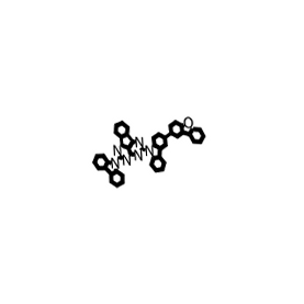 c1ccc2c(c1)-c1nc(-n3c4ccccc4c4ccccc43)nc3nc(-n4c5ccccc5c5cc(-c6ccc7oc8ccccc8c7c6)ccc54)nc-2c13